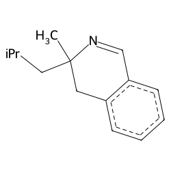 CC(C)CC1(C)Cc2ccccc2C=N1